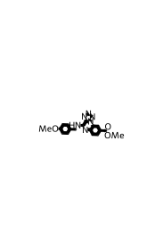 COC(=O)c1ccc2nc(NCc3ccc(OC)cc3)c3nnnn3c2c1